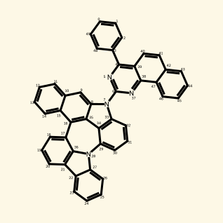 c1ccc(-c2nc(-n3c4cc5ccccc5c5c6cccc7c8ccccc8n(c8cccc3c8c54)c76)nc3c2ccc2ccccc23)cc1